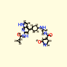 COc1cc(C(=O)N2CC(NC3CC=C(c4cc(NC(=O)C5CC5)nc5[nH]ccc45)CC3)C2)ccn1